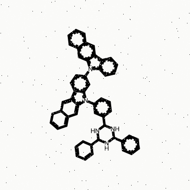 C1=CCC2C=c3c(n(-c4cccc(C5NC(c6ccccc6)NC(C6C=CC=CC6)N5)c4)c4cc(-n5c6ccccc6c6cc7ccccc7cc65)ccc34)=CC2=C1